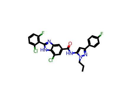 CCCn1nc(-c2ccc(F)cc2)cc1NC(=O)c1cc(Cl)c2[nH]c(-c3c(F)cccc3Cl)nc2c1